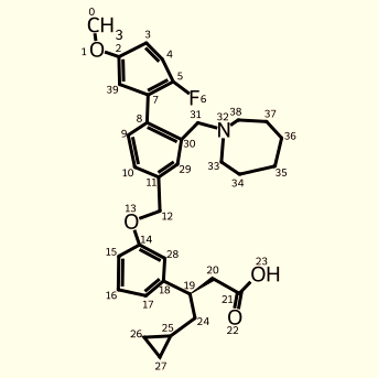 COc1ccc(F)c(-c2ccc(COc3cccc([C@@H](CC(=O)O)CC4CC4)c3)cc2CN2CCCCCC2)c1